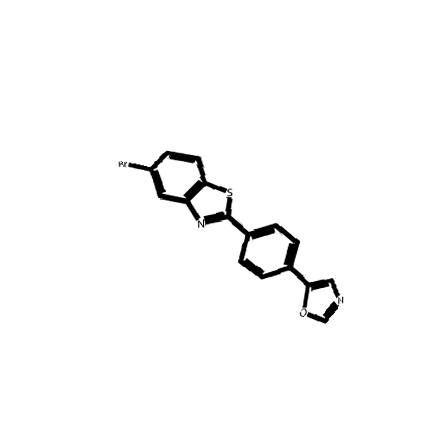 Brc1ccc2sc(-c3ccc(-c4cnco4)cc3)nc2c1